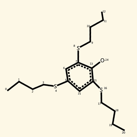 CCCCSc1cc(SCCCC)c([O])c(SCCCC)c1